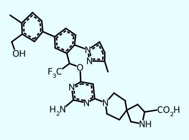 Cc1ccn(-c2ccc(-c3ccc(C)c(CO)c3)cc2C(Oc2cc(N3CCC4(CC3)CNC(C(=O)O)C4)nc(N)n2)C(F)(F)F)n1